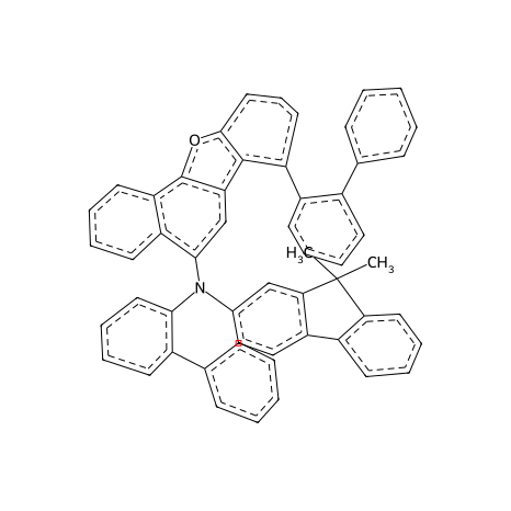 CC1(C)c2ccccc2-c2ccc(N(c3ccccc3-c3ccccc3)c3cc4c(oc5cccc(-c6ccccc6-c6ccccc6)c54)c4ccccc34)cc21